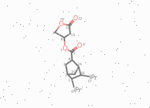 CC(C)C1C2CC(C(=O)OC3COC(=O)C3)C(C2)C1C(C)C